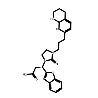 O=C(O)C[C@H](c1nc2ccccc2o1)N1CCN(CCCC2=CC=C3CCCNC3N2)C1=O